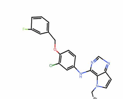 CC(C)Cn1ccc2ncnc(Nc3ccc(OCc4cccc(F)c4)c(Cl)c3)c21